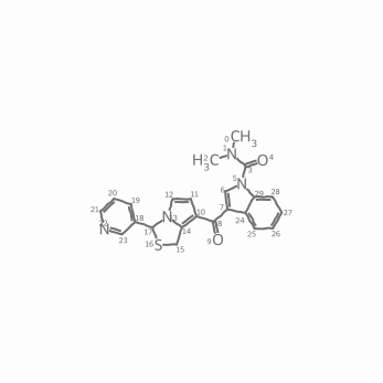 CN(C)C(=O)n1cc(C(=O)c2ccn3c2CSC3c2cccnc2)c2ccccc21